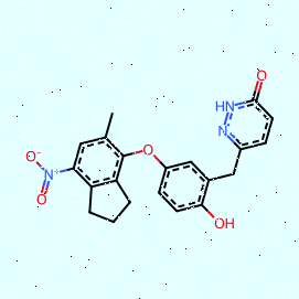 Cc1cc([N+](=O)[O-])c2c(c1Oc1ccc(O)c(Cc3ccc(=O)[nH]n3)c1)CCC2